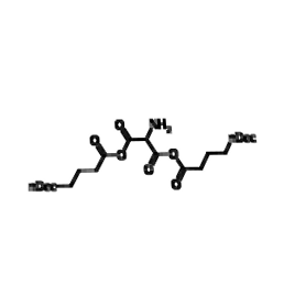 CCCCCCCCCCCCCC(=O)OC(=O)C(N)C(=O)OC(=O)CCCCCCCCCCCCC